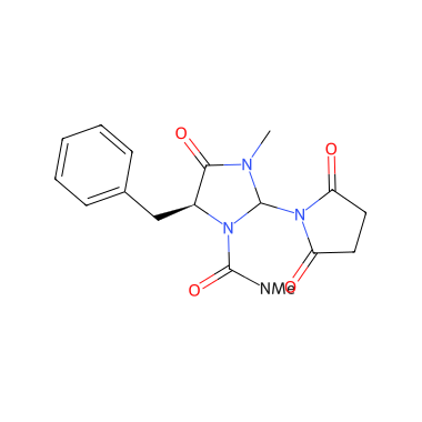 CNC(=O)N1C(N2C(=O)CCC2=O)N(C)C(=O)[C@@H]1Cc1ccccc1